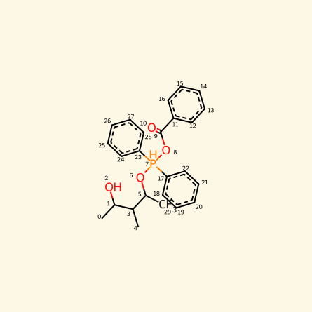 CC(O)C(C)C(O[PH](OC(=O)c1ccccc1)(c1ccccc1)c1ccccc1)C(F)(F)F